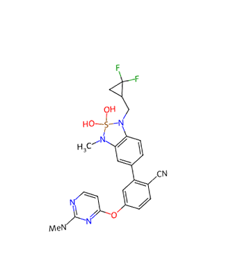 CNc1nccc(Oc2ccc(C#N)c(-c3ccc4c(c3)N(C)S(O)(O)N4CC3CC3(F)F)c2)n1